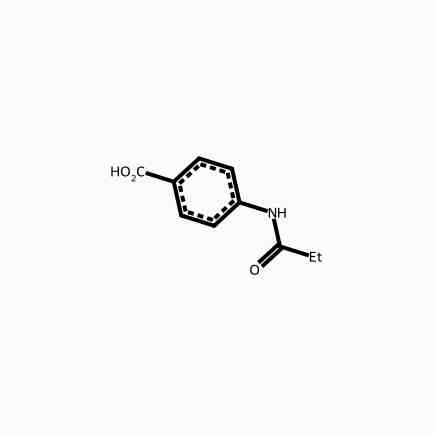 CCC(=O)Nc1ccc(C(=O)O)cc1